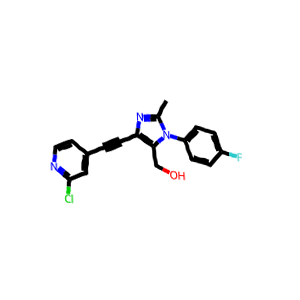 Cc1nc(C#Cc2ccnc(Cl)c2)c(CO)n1-c1ccc(F)cc1